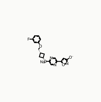 [Na+].[O-]c1cc(-c2cnc(O[C@H]3C[C@@H](COc4cccc(F)c4)C3)cn2)on1